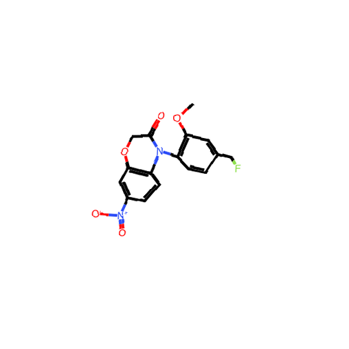 COc1cc(CF)ccc1N1C(=O)COc2cc([N+](=O)[O-])ccc21